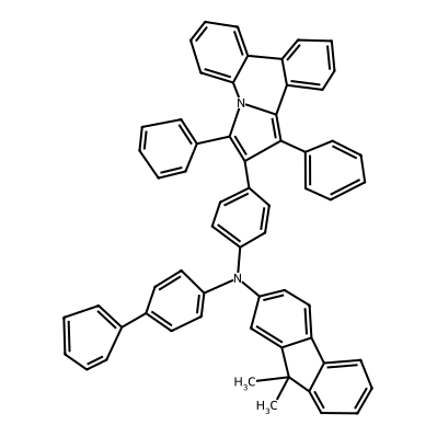 CC1(C)c2ccccc2-c2ccc(N(c3ccc(-c4ccccc4)cc3)c3ccc(-c4c(-c5ccccc5)c5c6ccccc6c6ccccc6n5c4-c4ccccc4)cc3)cc21